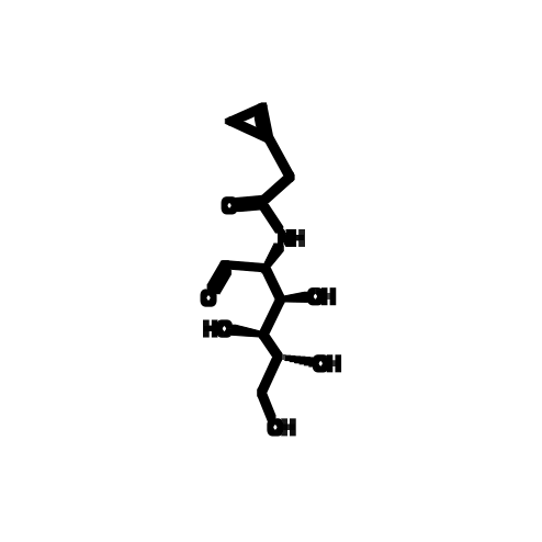 O=C[C@@H](NC(=O)CC1=CC1)[C@@H](O)[C@H](O)[C@H](O)CO